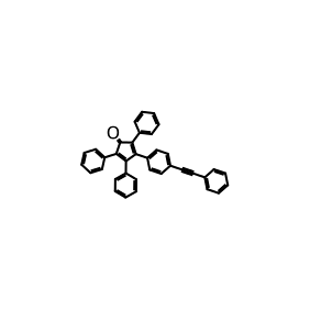 O=C1C(c2ccccc2)=C(c2ccccc2)C(c2ccc(C#Cc3ccccc3)cc2)=C1c1ccccc1